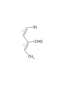 C/C=C(C=O)/C=C\CC